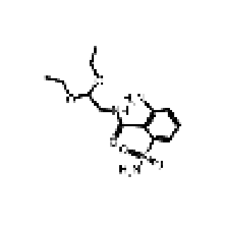 CCOC(CNC(=O)c1c(N)cccc1S(N)(=O)=O)OCC